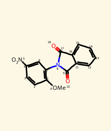 COc1ccc([N+](=O)[O-])cc1N1C(=O)c2ccccc2C1=O